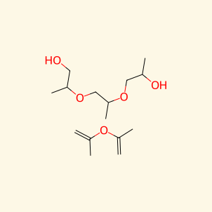 C=C(C)OC(=C)C.CC(O)COC(C)COC(C)CO